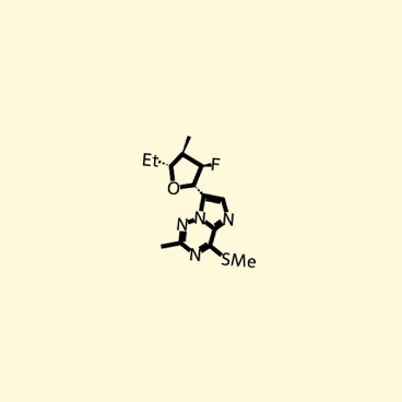 CC[C@H]1O[C@@H](c2cnc3c(SC)nc(C)nn23)[C@H](F)[C@@H]1C